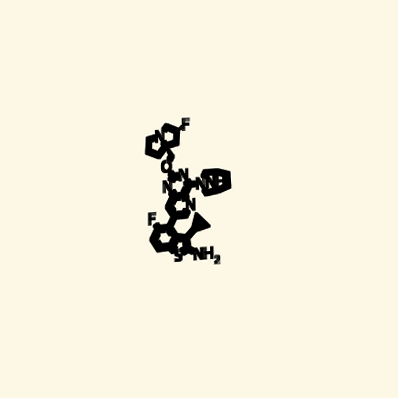 Nc1sc2ccc(F)c(-c3cnc4c(N5CC6CCC(C5)N6)nc(OC[C@@]56CCCN5C[C@H](F)C6)nc4c3)c2c1C1CC1